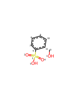 CO.O=S(=O)(O)c1ccccc1